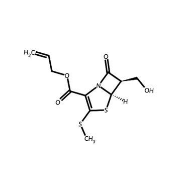 C=CCOC(=O)C1=C(SC)S[C@@H]2[C@H](CO)C(=O)N12